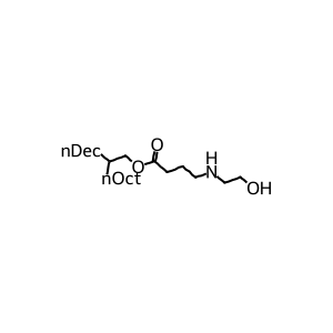 CCCCCCCCCCC(CCCCCCCC)COC(=O)CCCNCCO